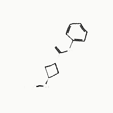 O=C(O)N[C@H]1C[C@H](C(=O)Nc2ccccc2)C1